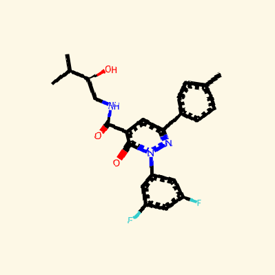 Cc1ccc(-c2cc(C(=O)NC[C@H](O)C(C)C)c(=O)n(-c3cc(F)cc(F)c3)n2)cc1